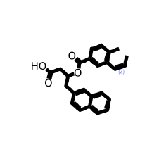 C/C=C\c1cc(C(=O)OC(CC(=O)O)Cc2ccc3ccccc3c2)ccc1C